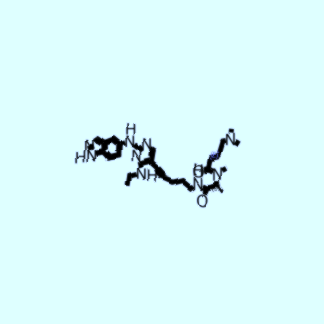 CCNc1nc(Nc2ccc3[nH]ncc3c2)ncc1C#CCCCNC(=O)[C@H](C)N(C)C(=O)/C=C/CN(C)C